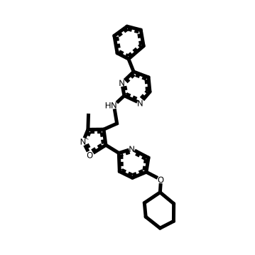 Cc1noc(-c2ccc(OC3CCCCC3)cn2)c1CNc1nccc(-c2ccccc2)n1